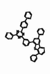 c1ccc(-c2ccc(-c3nc(-c4ccccc4)nc(-c4cccc(-c5cc(-c6ccccc6)cc6c5sc5c(-c7ccccc7)cccc56)c4)n3)cc2)cc1